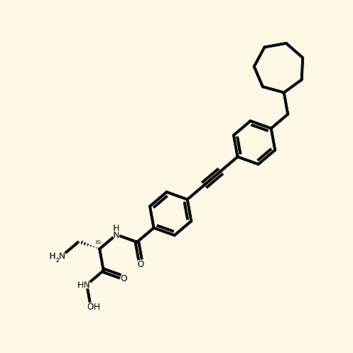 NC[C@H](NC(=O)c1ccc(C#Cc2ccc(CC3CCCCCC3)cc2)cc1)C(=O)NO